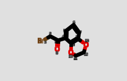 O=C(CBr)c1cccc2c1OCCO2